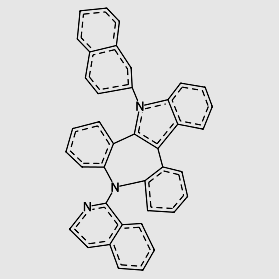 c1ccc2c(c1)-c1c(n(-c3ccc4ccccc4c3)c3ccccc13)-c1ccccc1N2c1nccc2ccccc12